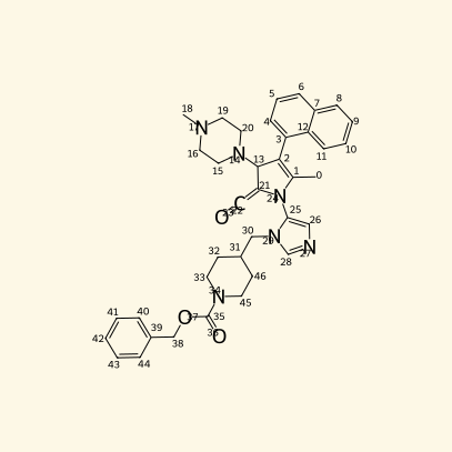 CC1=C(c2cccc3ccccc23)C(N2CCN(C)CC2)C(=C=O)N1c1cncn1CC1CCN(C(=O)OCc2ccccc2)CC1